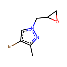 Cc1nn(CC2CO2)cc1Br